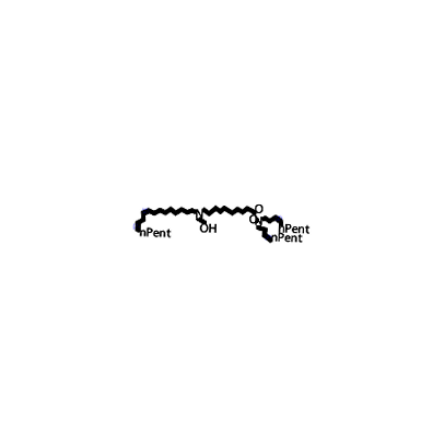 CCCCC/C=C\C/C=C\CCCCCCCCN(CCO)CCCCCCCCCC(=O)ON(CC/C=C\CCCCC)CC/C=C\CCCCC